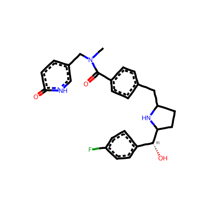 CN(Cc1ccc(=O)[nH]c1)C(=O)c1ccc(CC2CCC([C@H](O)c3ccc(F)cc3)N2)cc1